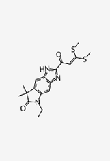 CCN1C(=O)C(C)(C)c2cc3[nH]c(C(=O)C=C(SC)SC)nc3cc21